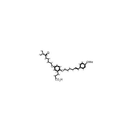 COc1ccc(/C=C/CCCCOc2ccc(OCCCCC(=O)N(C)C)cc2CCC(=O)O)cc1